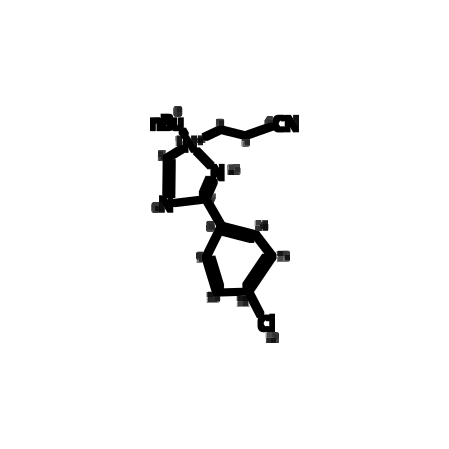 CCCC[N+]1(CCC#N)C=NC(c2ccc(Cl)cc2)=N1